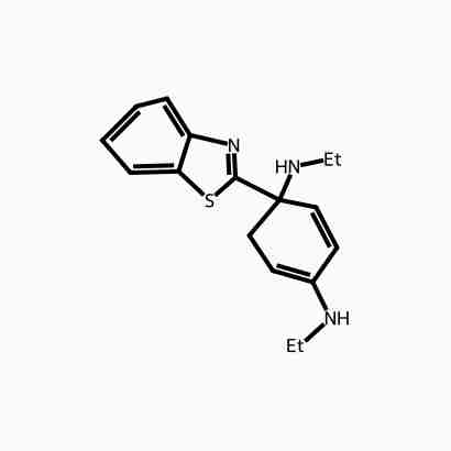 CCNC1=CCC(NCC)(c2nc3ccccc3s2)C=C1